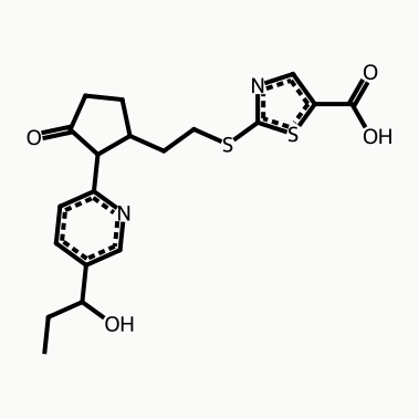 CCC(O)c1ccc(C2C(=O)CCC2CCSc2ncc(C(=O)O)s2)nc1